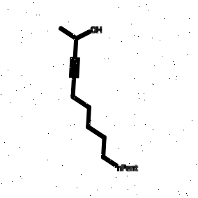 CCCCCCCCCCC#CC(C)O